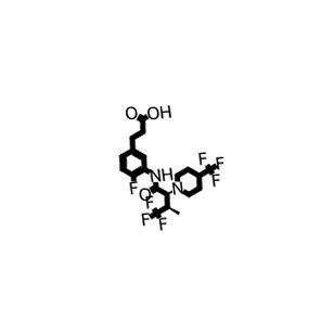 C[C@H]([C@H](C(=O)Nc1cc(CCC(=O)O)ccc1F)N1CCC(C(F)(F)F)CC1)C(F)(F)F